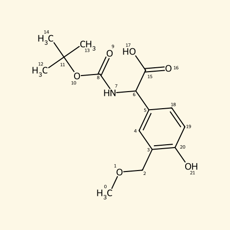 COCc1cc(C(NC(=O)OC(C)(C)C)C(=O)O)ccc1O